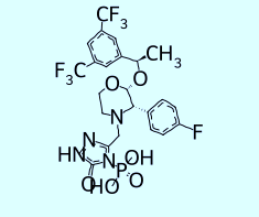 C[C@@H](O[C@H]1OCCN(Cc2n[nH]c(=O)n2P(=O)(O)O)[C@H]1c1ccc(F)cc1)c1cc(C(F)(F)F)cc(C(F)(F)F)c1